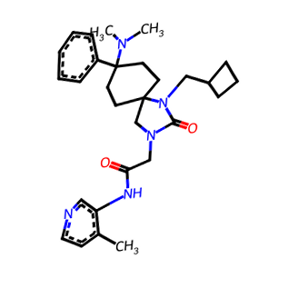 Cc1ccncc1NC(=O)CN1CC2(CCC(c3ccccc3)(N(C)C)CC2)N(CC2CCC2)C1=O